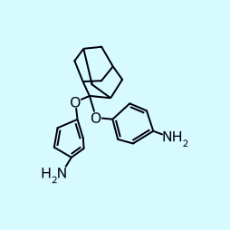 Nc1ccc(OC2(Oc3ccc(N)cc3)C3CC4CC(C3)CC2C4)cc1